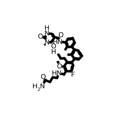 CCCc1c(-c2cccc(-c3cccc(NC(=O)C4=CNC(=O)N(C)C4O)c3C)c2C)cc(F)c(CNCCCC(N)=O)c1OC